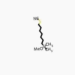 CO[Si](C)(C)CCCCCCCSC#N